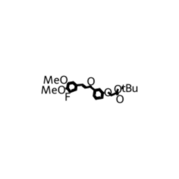 COc1cc(C=CC(=O)c2cccc(OCC(=O)OC(C)(C)C)c2)cc(F)c1OC